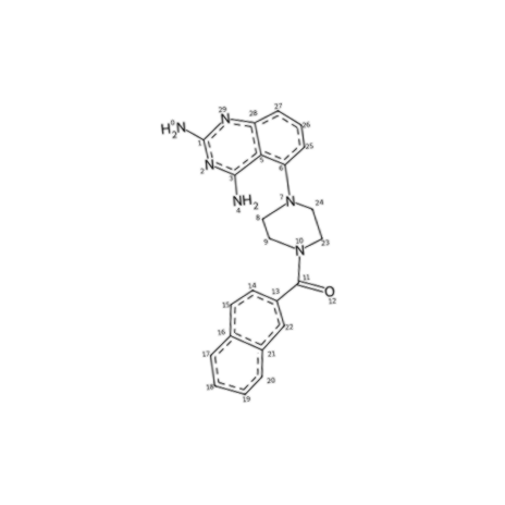 Nc1nc(N)c2c(N3CCN(C(=O)c4ccc5ccccc5c4)CC3)cccc2n1